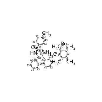 Cc1cc(C)c(C)c(C)c1C.Cc1ccc(S(=O)(=O)N[C@@H](c2ccccc2)[C@@H](N)c2ccccc2)cc1.[Ru]